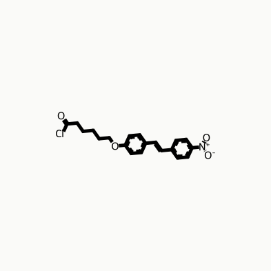 O=C(Cl)CCCCCOc1ccc(C=Cc2ccc([N+](=O)[O-])cc2)cc1